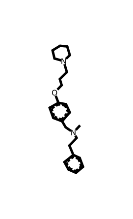 CN(CCc1ccccc1)Cc1ccc(OCCCN2CCCCC2)cc1